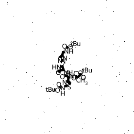 CC(C)(C)OC(=O)NCc1cnn(C[C@H]2NC(=O)[C@H]2NC(=O)C(=NOC(C)(C)C(=O)OC(C)(C)C)c2csc(NC(=O)OC(C)(C)C)n2)n1